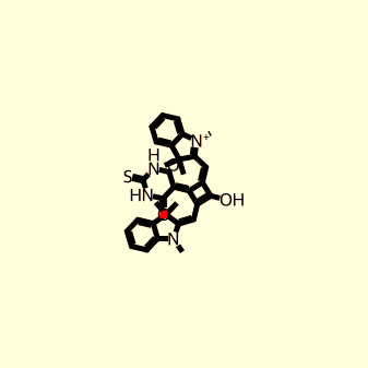 CN1/C(=C/C2=C(O)C(=C/C3=[N+](C)c4ccccc4C3(C)C)/C2=C2C(=O)NC(=S)NC2=O)C(C)(C)c2ccccc21